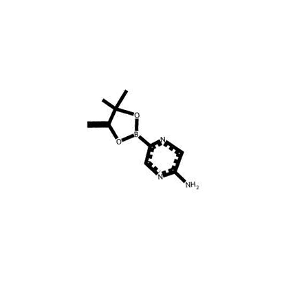 C=C1OB(c2cnc(N)cn2)OC1(C)C